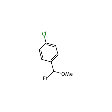 CCC(OC)c1ccc(Cl)cc1